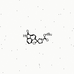 CC(C)(C)OC(=O)N1CCC(Cl)(c2ccc3c4c(cccc24)NC3=O)C1